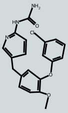 COc1ccc(Cc2ccc(NC(N)=O)nc2)cc1Oc1cccc(Cl)c1